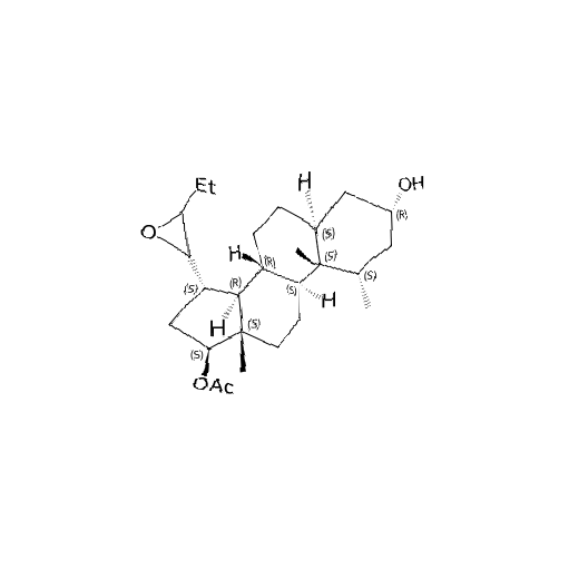 CCC1OC1[C@H]1C[C@H](OC(C)=O)[C@@]2(C)CC[C@H]3[C@@H](CC[C@H]4C[C@H](O)C[C@H](C)[C@@]43C)[C@H]12